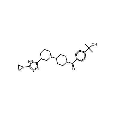 CC(C)(O)c1ccc(C(=O)N2CCC(N3CCCC(c4nnc(C5CC5)[nH]4)C3)CC2)cc1